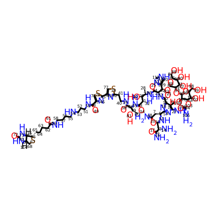 Cc1c(N)nc([C@H](CC(N)=O)NC[C@H](N)C(N)=O)nc1C(=O)N[C@H](C(=O)N[C@H](C)[C@@H](O)[C@H](C)C(=O)N[C@H](C(=O)NCCc1nc(-c2nc(C(=O)NCCCNCCCCNC(=O)CCCC[C@@H]3SC[C@@H]4NC(=O)N[C@@H]43)cs2)cs1)[C@@H](C)O)[C@@H](OC1OC(CO)C(O)C(O)C1OC1OC(CO)C(O)C(OC(N)=O)C1O)c1c[nH]cn1